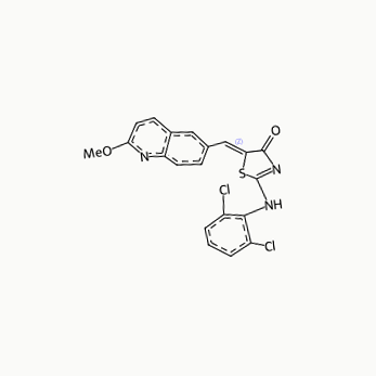 COc1ccc2cc(/C=C3\SC(Nc4c(Cl)cccc4Cl)=NC3=O)ccc2n1